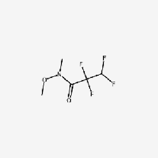 CON(C)C(=O)C(F)(F)C(F)F